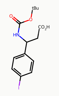 CC(C)(C)OC(=O)NC(CC(=O)O)c1ccc(I)cc1